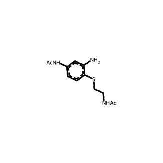 CC(=O)NCCSc1ccc(NC(C)=O)cc1N